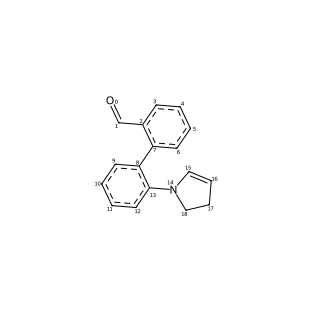 O=Cc1ccccc1-c1ccccc1N1C=CCC1